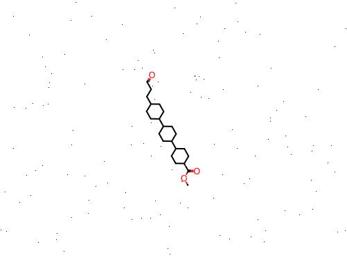 COC(=O)C1CCC(C2CCC(C3CCC(CCC=O)CC3)CC2)CC1